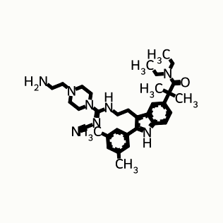 CCN(CC)C(=O)C(C)(C)c1ccc2[nH]c(-c3cc(C)cc(C)c3)c(CCN/C(=N/C#N)N3CCN(CCN)CC3)c2c1